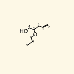 C=CCC(CO)OCCC